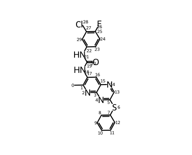 Cc1nc2nc(Sc3ccccc3)cnc2cc1NC(=O)Nc1ccc(F)c(Cl)c1